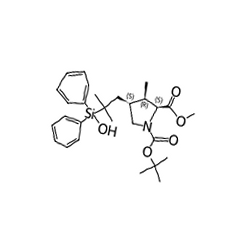 COC(=O)[C@@H]1[C@H](C)[C@H](CC(C)(C)[Si](O)(c2ccccc2)c2ccccc2)CN1C(=O)OC(C)(C)C